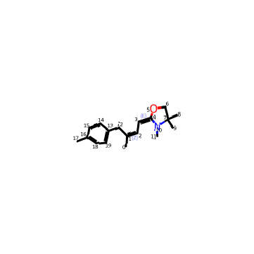 C/C(=C/C=C1/OCC(C)(C)N1C)Cc1ccc(C)cc1